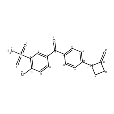 NS(=O)(=O)c1cc(C(=O)c2ccc(N3CCC3=O)cc2)ccc1Cl